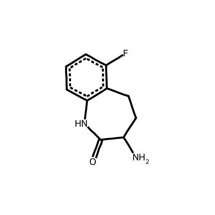 NC1CCc2c(F)cccc2NC1=O